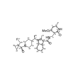 COc1cc(C)[nH]c(=O)c1CNC(=O)c1c(C)n([C@H](C)C2CCN(C(=O)C3(CF)CC3)CC2)c2ccccc12